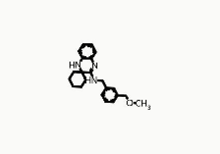 COCc1cccc(CNC2=Nc3ccccc3NC23CCCCC3)c1